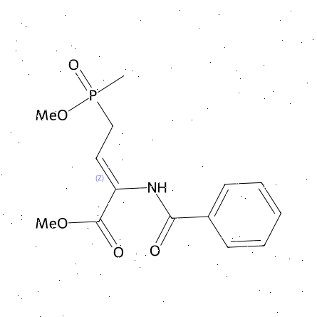 COC(=O)/C(=C/CP(C)(=O)OC)NC(=O)c1ccccc1